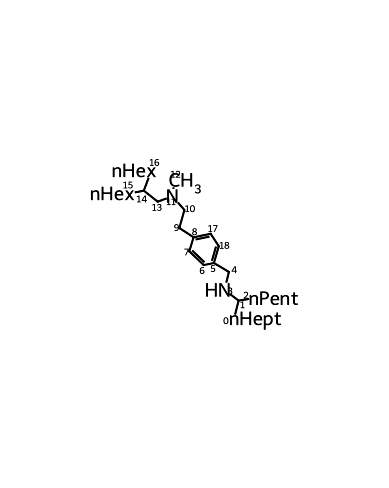 CCCCCCCC(CCCCC)NCc1ccc(CCN(C)CC(CCCCCC)CCCCCC)cc1